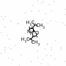 CC(C)c1cnn2c1OCC2C(C)C